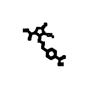 CN1C(=O)CN(C(=O)O)C1=NN=Cc1ccc(C(=O)O)cc1